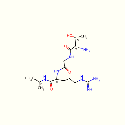 C[C@H](NC(=O)[C@H](CCCNC(=N)N)NC(=O)CNC(=O)[C@@H](N)[C@@H](C)O)C(=O)O